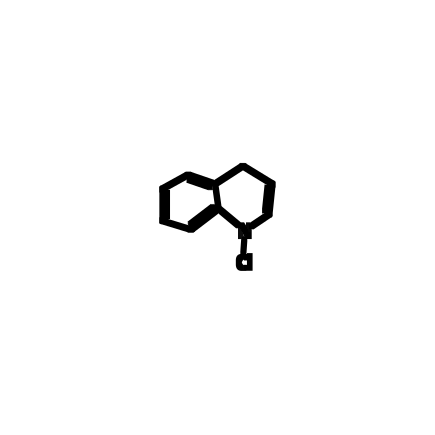 ClN1C=CCc2ccccc21